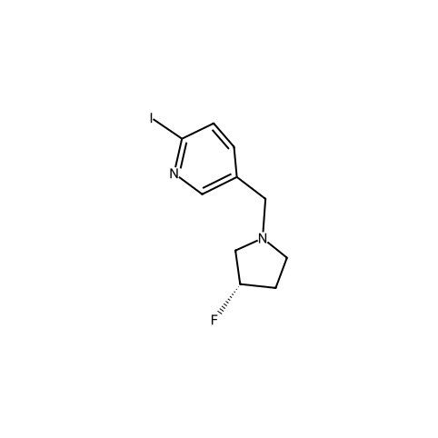 F[C@H]1CCN(Cc2ccc(I)nc2)C1